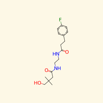 CC(C)(CO)CC(=O)NCCNC(=O)CCc1ccc(F)cc1